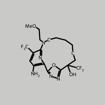 COCCN1CCCCCCC(O)(C(F)(F)F)c2nnc(o2)-c2nc1c(C(F)(F)F)cc2N